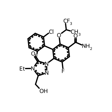 CCn1c(CO)nn(-c2c(F)cc(C(N)=O)c(OC(C)C(F)(F)F)c2-c2c(F)cccc2Cl)c1=O